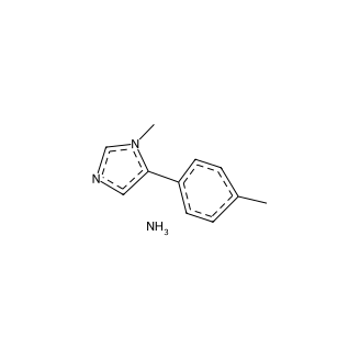 Cc1ccc(-c2cncn2C)cc1.N